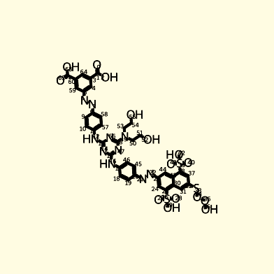 O=C(O)c1cc(/N=N/c2ccc(Nc3nc(Nc4ccc(/N=N/c5cc(S(=O)(=O)O)c6cc(SOOO)cc(S(=O)(=O)O)c6c5)cc4)nc(N(CCO)CCO)n3)cc2)cc(C(=O)O)c1